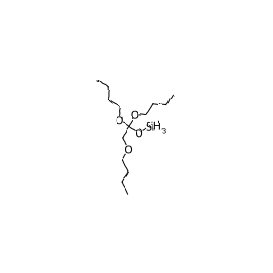 CCCCOCC(O[SiH3])(OCCCC)OCCCC